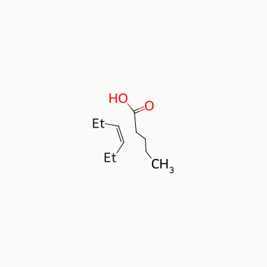 CC/C=C\CC.CCCCC(=O)O